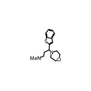 CNCCC(c1cc2ccccc2s1)N1CCOCC1